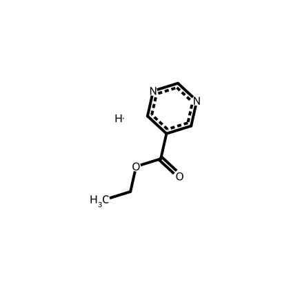 CCOC(=O)c1cncnc1.[H]